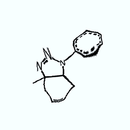 CC12CC=CCC1N(c1ccccc1)N=N2